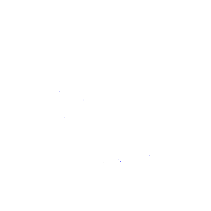 CCOC(=O)CN1CCN(C(=O)c2ccc(Nc3nccc(-c4ccc(Cl)cc4)n3)cc2)CC1